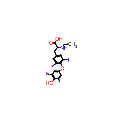 CCNC(Cc1cc(I)c(Oc2cc(I)c(O)c(I)c2)c(I)c1)C(=O)O